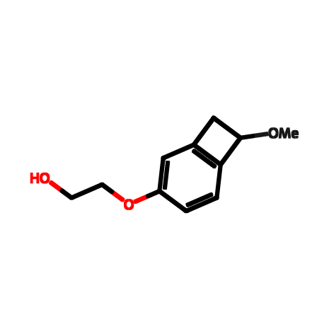 COC1Cc2cc(OCCO)ccc21